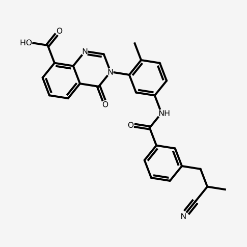 Cc1ccc(NC(=O)c2cccc(CC(C)C#N)c2)cc1-n1cnc2c(C(=O)O)cccc2c1=O